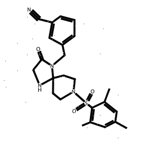 Cc1cc(C)c(S(=O)(=O)N2CCC3(CC2)NCC(=O)N3Cc2cccc(C#N)c2)c(C)c1